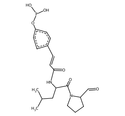 CC(C)CC(NC(=O)/C=C/c1ccc(OP(O)O)cc1)C(=O)N1CCCC1C=O